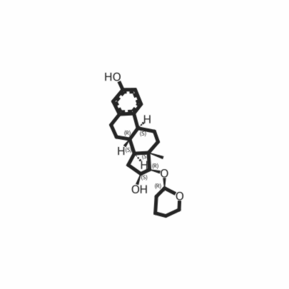 C[C@]12CC[C@@H]3c4ccc(O)cc4CC[C@H]3[C@@H]1C[C@H](O)[C@@H]2O[C@@H]1CCCCO1